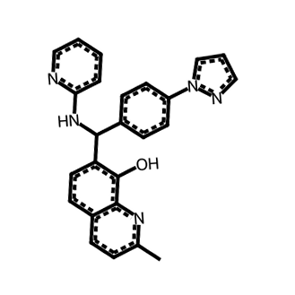 Cc1ccc2ccc(C(Nc3ccccn3)c3ccc(-n4cccn4)cc3)c(O)c2n1